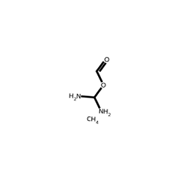 C.NC(N)OC=O